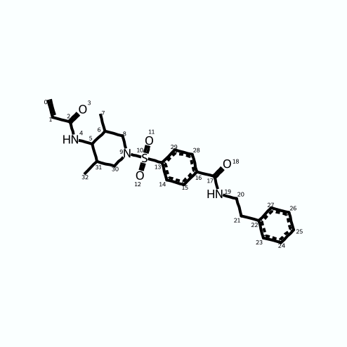 C=CC(=O)NC1C(C)CN(S(=O)(=O)c2ccc(C(=O)NCCc3ccccc3)cc2)CC1C